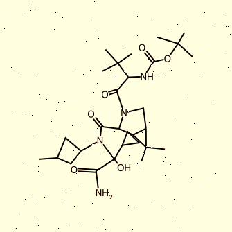 CC1CC(N(C(=O)C2C3C(CN2C(=O)C(NC(=O)OC(C)(C)C)C(C)(C)C)C3(C)C)C(O)(C(N)=O)C2CC2)C1